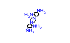 Nc1ccc(N2CCN(c3ccc(N)cc3N)CC2)c(N)c1